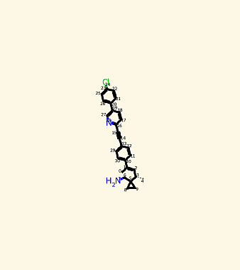 CC(=C[C@H](C)C1(CN)CC1)c1ccc(C#Cc2ccc(-c3ccc(Cl)cc3)cn2)cc1